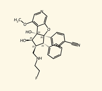 COc1cncc2c1[C@]1(O)[C@H](O)[C@H](CNCCF)[C@@H](c3ccccc3)[C@]1(c1ccc(C#N)cc1)O2